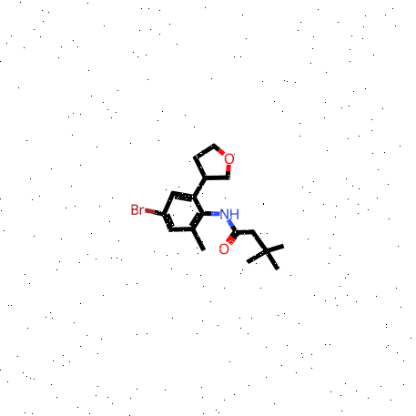 Cc1cc(Br)cc(C2CCOC2)c1NC(=O)CC(C)(C)C